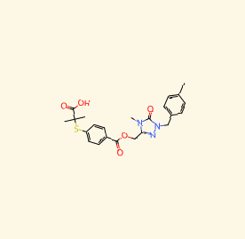 Cc1ccc(Cn2nc(COC(=O)c3ccc(SC(C)(C)C(=O)O)cc3)n(C)c2=O)cc1